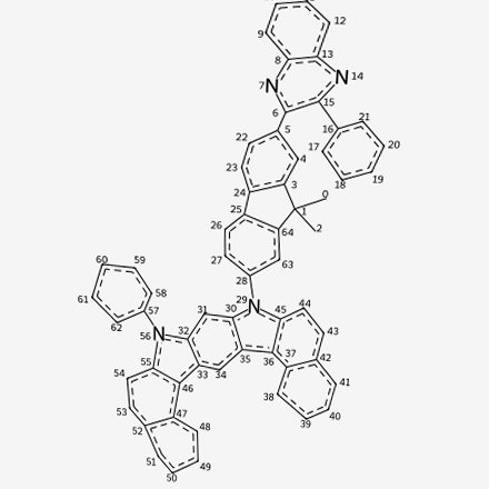 CC1(C)c2cc(-c3nc4ccccc4nc3-c3ccccc3)ccc2-c2ccc(-n3c4cc5c(cc4c4c6ccccc6ccc43)c3c4ccccc4ccc3n5-c3ccccc3)cc21